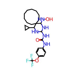 O=C(Nc1ccc(OC(F)(F)F)cc1)NC1NC(NO)C2(CCCCCCCCC2)C(C2CC2)N1